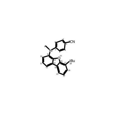 CN(c1ccc(C#N)cc1)c1cccc2c1oc1c(C(C)(C)C)cccc12